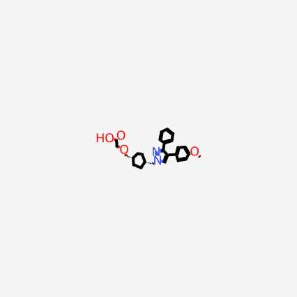 COc1ccc(-c2cn(C[C@H]3CC[C@@H](COCC(=O)O)CC3)nc2-c2ccccc2)cc1